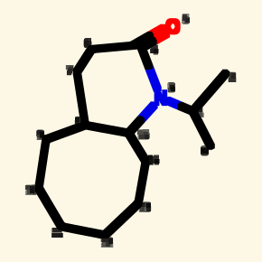 CC(C)N1C(=O)CCC2CCCCCCC21